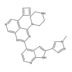 Cn1cc(-c2cc3c(-c4nc(N5CCNCC5)c5c(C6=CC=C6)cncc5n4)ccnc3[nH]2)cn1